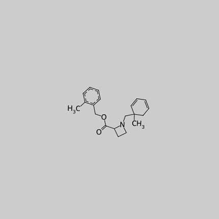 Cc1ccccc1COC(=O)C1CCN1CC1(C)C=CC=CC1